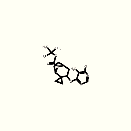 Cc1c(Cl)ncnc1OC1CC2CCC(N2C(=O)OC(C)(C)C)C12CC2